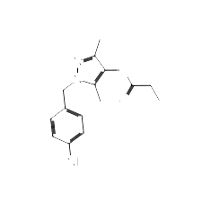 CCC(=O)Oc1c(C)nn(Cc2ccc(N)cc2)c1C